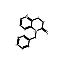 O=C1CCc2ncccc2N1Cc1ccccc1